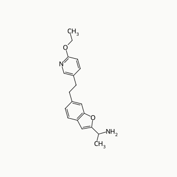 CCOc1ccc(CCc2ccc3cc(C(C)N)oc3c2)cn1